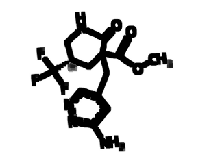 COC(=O)C1(Cc2cnnc(N)c2)C[C@H](C(F)(F)F)CNC1=O